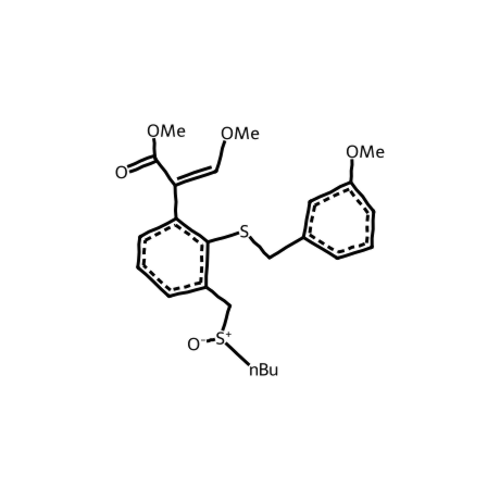 CCCC[S+]([O-])Cc1cccc(C(=COC)C(=O)OC)c1SCc1cccc(OC)c1